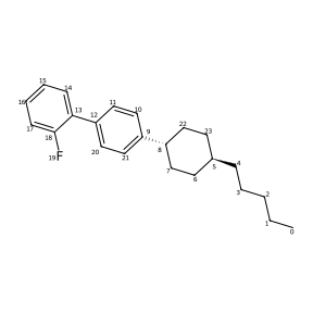 CCCCC[C@H]1CC[C@H](c2ccc(-c3ccccc3F)cc2)CC1